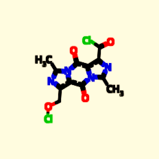 Cc1nc(COCl)c2c(=O)n3c(C)nc(C(=O)Cl)c3c(=O)n12